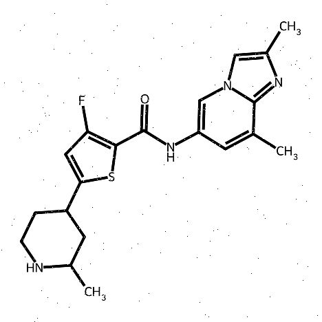 Cc1cn2cc(NC(=O)c3sc(C4CCNC(C)C4)cc3F)cc(C)c2n1